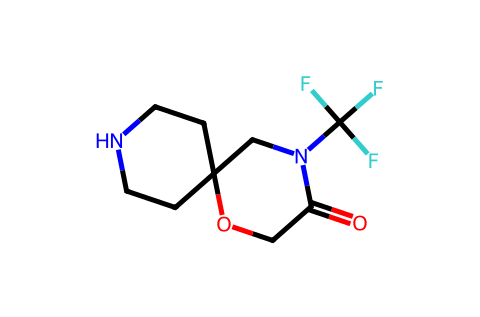 O=C1COC2(CCNCC2)CN1C(F)(F)F